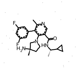 Cc1ncc(C(=O)N[C@@H](C)C2CC2)c(N2CC[C@](C)(N)C2)c1-c1cc(F)cc(F)c1